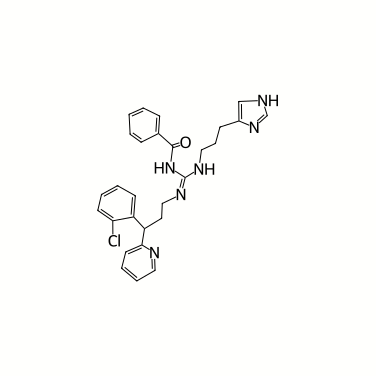 O=C(NC(=NCCC(c1ccccn1)c1ccccc1Cl)NCCCc1c[nH]cn1)c1ccccc1